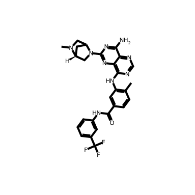 Cc1ccc(C(=O)Nc2cccc(C(F)(F)F)c2)cc1Nc1ncnc2c(N)nc(N3C[C@H]4CC3CN4C)nc12